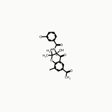 CC(=O)c1cc(I)c2c(c1)C(=O)[C@@](O)(NC(=O)c1cccc(Cl)c1)C(C)(C)O2